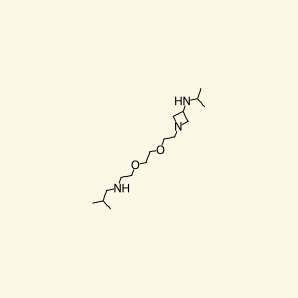 CC(C)CNCCOCCOCCN1CC(NC(C)C)C1